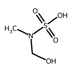 CN(CO)S(=O)(=O)O